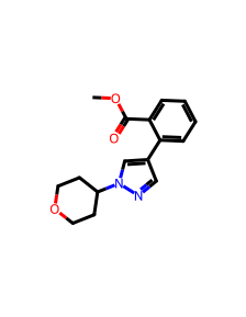 COC(=O)c1ccccc1-c1cnn(C2CCOCC2)c1